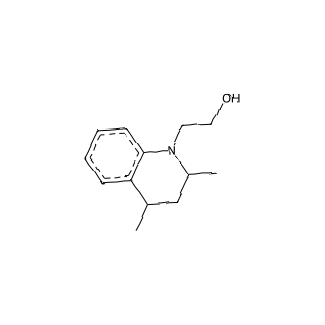 CC1CC(C)N(CCO)c2ccccc21